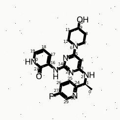 C[C@H](Nc1cc(N2CCC(O)CC2)nc(Nc2ccc[nH]c2=O)n1)c1ccc(F)cn1